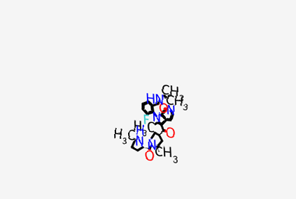 Cc1c(C(=O)[C@@H]2CCN(C(=O)[C@@H]3CC[C@H](C)N3)[C@@H](C)C2)c2ccncc2n1-c1c(F)cccc1C(=O)NC(C)C